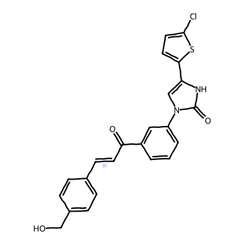 O=C(/C=C/c1ccc(CO)cc1)c1cccc(-n2cc(-c3ccc(Cl)s3)[nH]c2=O)c1